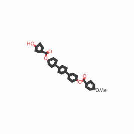 COc1ccc(C(=O)Oc2ccc(-c3ccc(-c4ccc(OC(=O)c5ccc(O)cc5)cc4)cc3)cc2)cc1